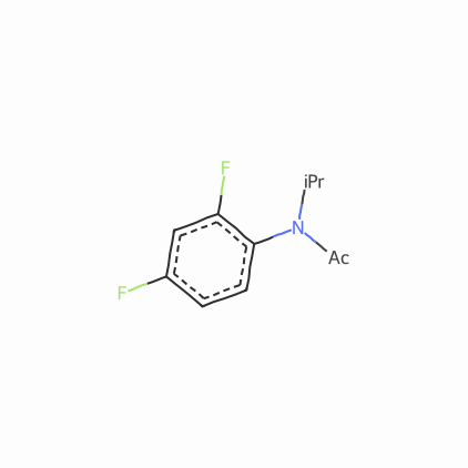 CC(=O)N(c1ccc(F)cc1F)C(C)C